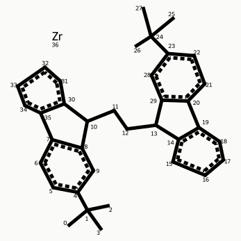 CC(C)(C)c1ccc2c(c1)C(CCC1c3ccccc3-c3ccc(C(C)(C)C)cc31)c1ccccc1-2.[Zr]